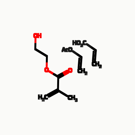 C=C(C)C(=O)OCCO.C=CC(=O)O.C=COC(C)=O